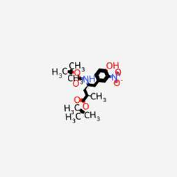 C[C@@H](C[C@H](Cc1ccc(O)c([N+](=O)[O-])c1)NC(=O)OC(C)(C)C)C(=O)OC(C)(C)C